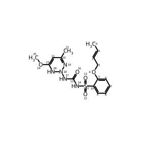 CC=CCOc1ccccc1S(=O)(=O)NC(=O)NN1N=C(C)C=C(OC)N1